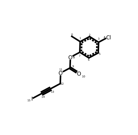 Cc1cc(Cl)ccc1OC(=O)OCC#CI